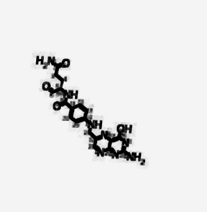 NC(=O)CC[C@H](C=O)NC(=O)c1ccc(NCc2cnc3nc(N)nc(O)c3n2)cc1